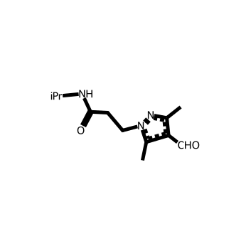 Cc1nn(CCC(=O)NC(C)C)c(C)c1C=O